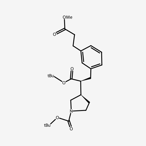 COC(=O)CCc1cccc(C[C@H](C(=O)OC(C)(C)C)[C@H]2CCN(C(=O)OC(C)(C)C)C2)c1